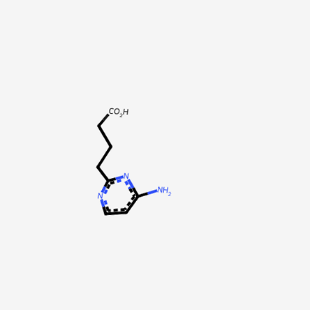 Nc1ccnc(CCCC(=O)O)n1